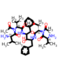 CC(=O)N(C(=O)[C@@H](N)C(C)C)[C@H](C(=O)NC(Cc1ccccc1)C(O)C(Cc1ccccc1)NC(=O)[C@H](C(C)C)N(C(C)=O)C(=O)[C@@H](N)C(C)C)C(C)C